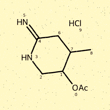 CC(=O)OC1CNC(=N)CC1C.Cl